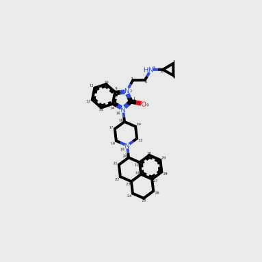 O=c1n(CCNC2CC2)c2ccccc2n1C1CCN(C2CCC3CCCc4cccc2c43)CC1